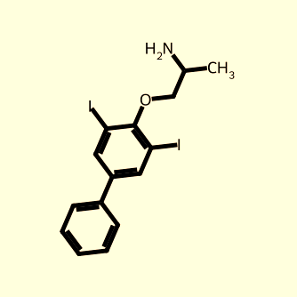 CC(N)COc1c(I)cc(-c2ccccc2)cc1I